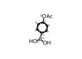 CC(=O)Oc1ccc(B(O)O)cc1